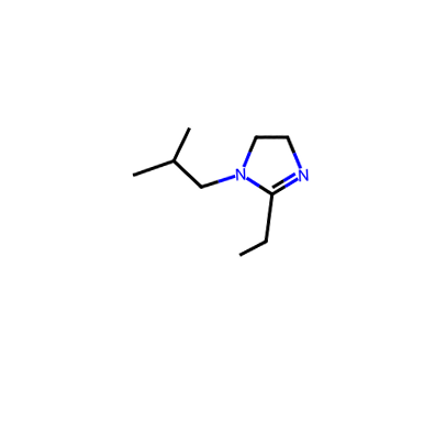 CCC1=NCCN1CC(C)C